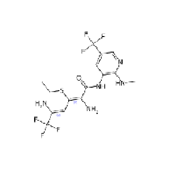 CCSC(/C=C(\N)C(F)(F)F)=C(/N)C(=O)Nc1cc(C(F)(F)F)cnc1NC